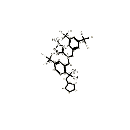 Cn1nnc(N(Cc2cc(C(F)(F)F)cc(C(F)(F)F)c2)Cc2cc(C(F)(F)F)ccc2C(C)(O)CC2CCCC2)n1